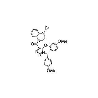 COc1ccc(Cn2nnc(C(=O)N3CCN(C4CC4)c4ccccc43)c2Oc2cccc(OC)c2)cc1